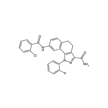 NC(=O)c1nn(-c2ccccc2F)c2c1CCc1ccc(NC(=O)c3ccccc3Cl)cc1-2